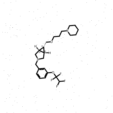 FC(F)C(F)(F)Oc1cccc(CN2C[C@@H]3[C@H](COCCCN4CCCCC4)[C@@H]3C2)c1